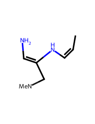 C/C=C\N/C(=C\N)CNC